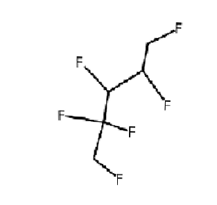 FCC(F)C(F)C(F)(F)CF